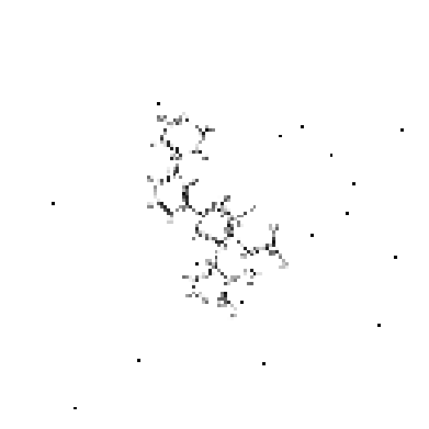 C/N=C(\C=C(/C(=C(C)C)C(O)=C(C)C)c1cccc(C)c1)c1cccc(-c2ccccc2)c1